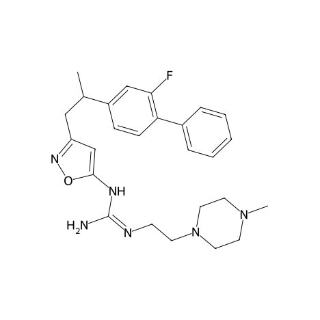 CC(Cc1cc(NC(N)=NCCN2CCN(C)CC2)on1)c1ccc(-c2ccccc2)c(F)c1